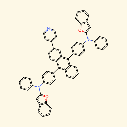 c1ccc(N(c2ccc(-c3c4ccccc4c(-c4ccc(N(c5ccccc5)c5cc6ccccc6o5)cc4)c4cc(-c5ccncc5)ccc34)cc2)c2cc3ccccc3o2)cc1